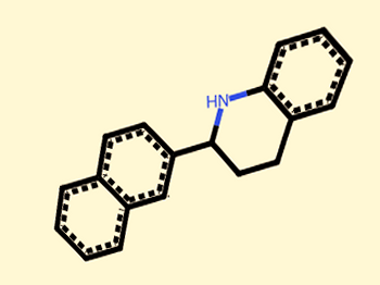 [c]1c(C2CCc3ccccc3N2)ccc2ccccc12